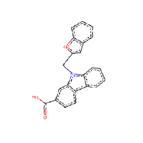 O=C(O)c1ccc2c3ccccc3n(Cc3cc4ccccc4o3)c2c1